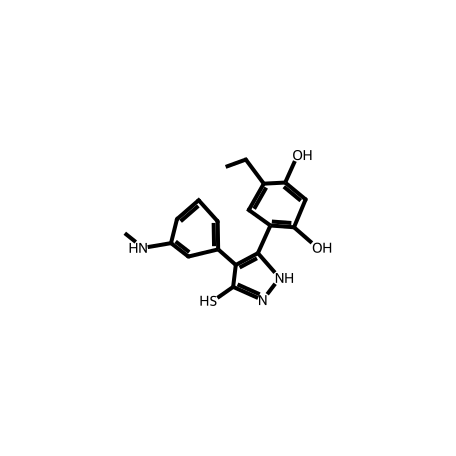 CCc1cc(-c2[nH]nc(S)c2-c2cccc(NC)c2)c(O)cc1O